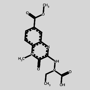 CCN(Nc1nc2cc(C(=O)OC)ccc2n(C)c1=O)C(=O)O